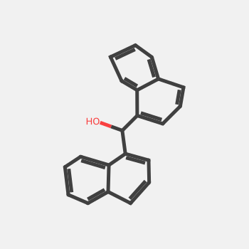 OC(c1cccc2ccccc12)c1cccc2ccccc12